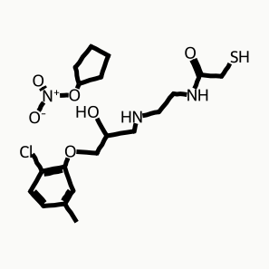 Cc1ccc(Cl)c(OCC(O)CNCCNC(=O)CS)c1.O=[N+]([O-])OC1CCCC1